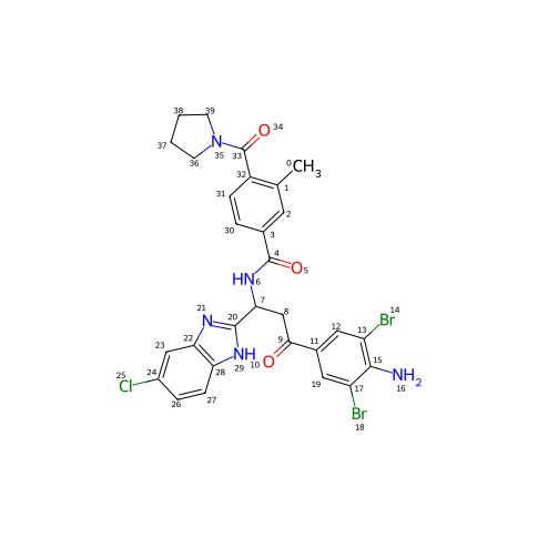 Cc1cc(C(=O)NC(CC(=O)c2cc(Br)c(N)c(Br)c2)c2nc3cc(Cl)ccc3[nH]2)ccc1C(=O)N1CCCC1